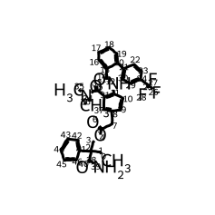 CCC(COC(=O)Cc1ccc(NC(=O)c2ccccc2-c2ccc(C(F)(F)F)cc2)c(C(=O)N(C)C)c1)(C(N)=O)c1ccccc1